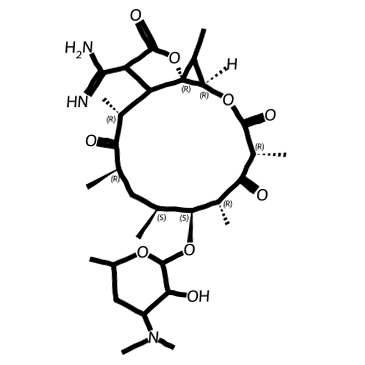 CC1CC(N(C)C)C(O)C(O[C@H]2[C@@H](C)C[C@@H](C)C(=O)[C@H](C)C3C(C(=N)N)C(=O)O[C@@]34C(C)[C@H]4OC(=O)[C@H](C)C(=O)[C@@H]2C)O1